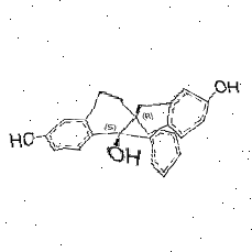 Oc1ccc2c(c1)C[C@@]1(CCc3cc(O)ccc3[C@@]1(O)c1ccccc1)C2